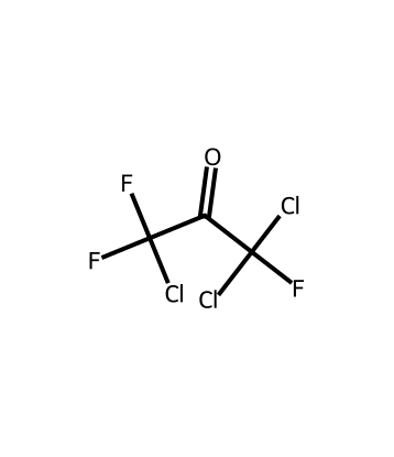 O=C(C(F)(F)Cl)C(F)(Cl)Cl